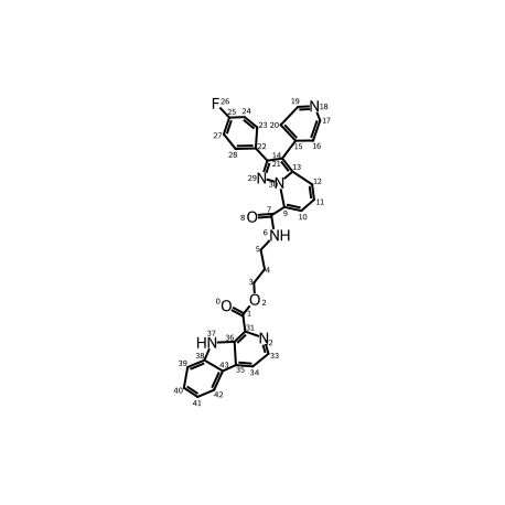 O=C(OCCCNC(=O)c1cccc2c(-c3ccncc3)c(-c3ccc(F)cc3)nn12)c1nccc2c1[nH]c1ccccc12